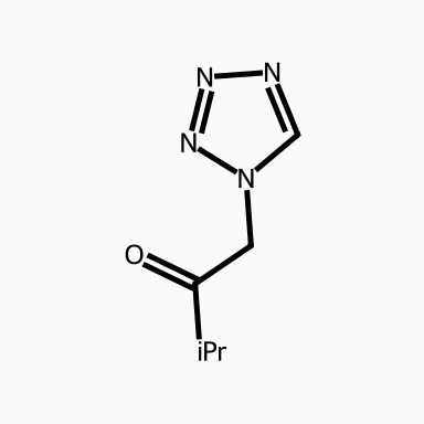 CC(C)C(=O)Cn1cnnn1